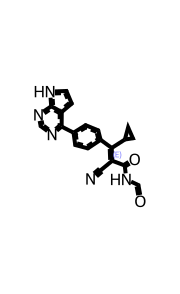 N#C/C(C(=O)NC=O)=C(\c1ccc(-c2ncnc3[nH]ccc23)cc1)C1CC1